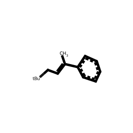 CC(=C[C]C(C)(C)C)c1ccccc1